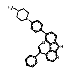 CC/C=C(/c1ccccc1)c1ccnc2[nH]c3ccc(-c4ccc(N5CCN(C)CC5)cc4)cc3c12